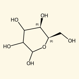 OC[C@H]1OC(O)C(O)C(O)[C@H]1O